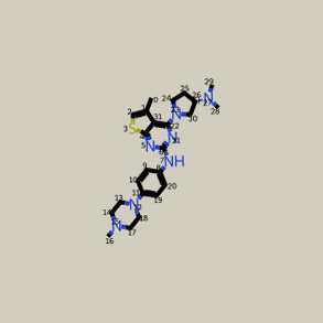 Cc1csc2nc(Nc3ccc(N4CCN(C)CC4)cc3)nc(N3CC[C@H](N(C)C)C3)c12